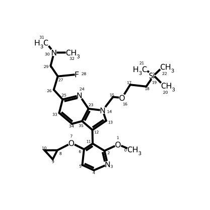 COc1nccc(OC2CC2)c1-c1cn(COCC[Si](C)(C)C)c2nc(CC(F)[CH]N(C)C)ccc12